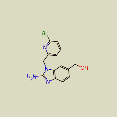 Nc1nc2ccc(CO)cc2n1Cc1cccc(Br)n1